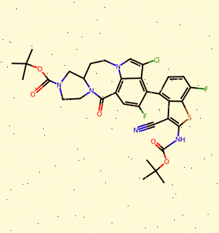 CC(C)(C)OC(=O)Nc1sc2c(F)ccc(-c3c(F)cc4c5c3c(Cl)cn5CCC3CN(C(=O)OC(C)(C)C)CCN3C4=O)c2c1C#N